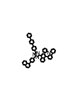 C1=CC2c3cccc(-c4ccc(-c5nc(-c6ccc(-c7ccc(-c8ccccc8)cc7)cc6)nc(-c6ccc(-c7cccc8ccccc78)cc6)n5)c5ccccc45)c3N(c3ccccc3)C2C=C1